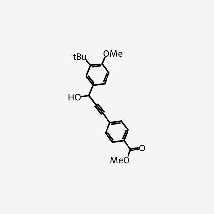 COC(=O)c1ccc(C#CC(O)c2ccc(OC)c(C(C)(C)C)c2)cc1